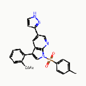 COc1ccccc1-c1cn(S(=O)(=O)c2ccc(C)cc2)c2ncc(-c3cc[nH]n3)cc12